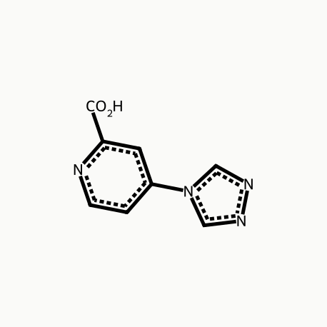 O=C(O)c1cc(-n2cnnc2)ccn1